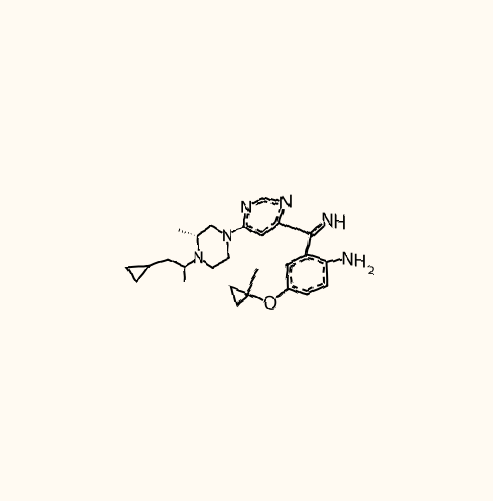 CC(CC1CC1)N1CCN(c2cc(C(=N)c3cc(OC4(C)CC4)ccc3N)ncn2)C[C@H]1C